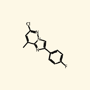 Cc1cc(Cl)nn2cc(-c3ccc(F)cc3)nc12